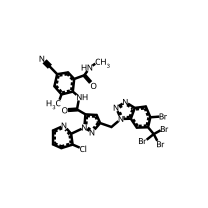 CNC(=O)c1cc(C#N)cc(C)c1NC(=O)c1cc(Cn2nnc3cc(Br)c(C(Br)(Br)Br)cc32)nn1-c1ncccc1Cl